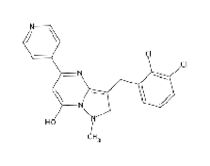 CN1CC(Cc2cccc(Cl)c2Cl)=C2N=C(c3ccncc3)C=C(O)N21